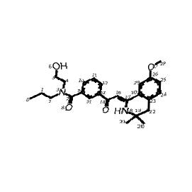 CCCN(CCO)C(=O)c1cccc(C(=O)/C=C2\NC(C)(C)Cc3ccc(OC)cc32)c1